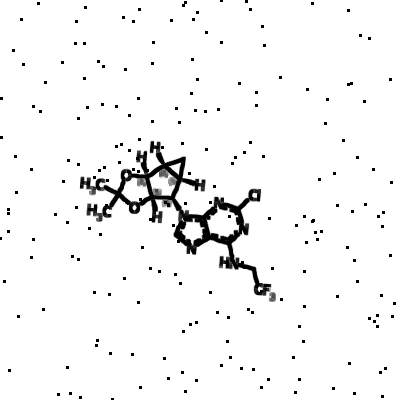 CC1(C)O[C@@H]2[C@@H]3C[C@@H]3[C@@H](n3cnc4c(NCC(F)(F)F)nc(Cl)nc43)[C@@H]2O1